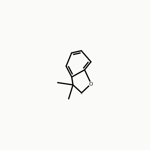 CC1(C)[C]Oc2ccccc21